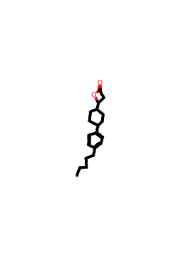 CCCCCc1ccc(C2CCC(C3CC(=O)O3)CC2)cc1